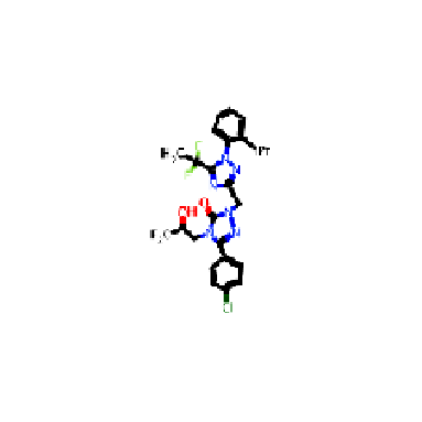 CC(C)c1ccccc1-n1nc(Cn2nc(-c3ccc(Cl)cc3)n(CC(O)C(F)(F)F)c2=O)nc1C(C)(F)F